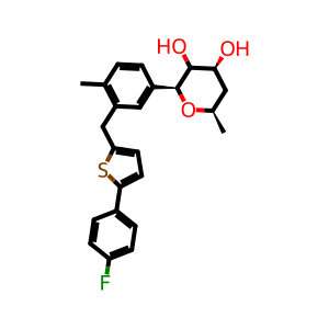 Cc1ccc([C@@H]2O[C@H](C)C[C@H](O)C2O)cc1Cc1ccc(-c2ccc(F)cc2)s1